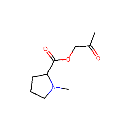 CC(=O)COC(=O)C1CCCN1C